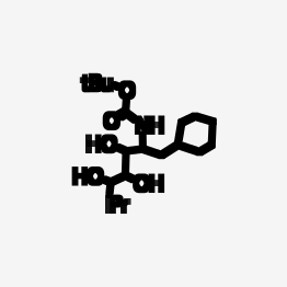 CC(C)C(O)C(O)C(O)C(CC1CCCCC1)NC(=O)OC(C)(C)C